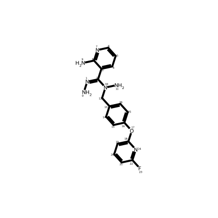 N/N=C(/c1cccnc1N)N(N)Cc1ccc(Oc2cccc(F)n2)cc1